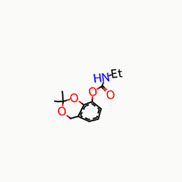 CCNC(=O)Oc1cccc2c1OC(C)(C)OC2